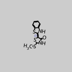 CSC1NC(=O)/C(=C2\Nc3ccccc3S2)S1